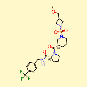 COCC1CN(S(=O)(=O)N2CCC[C@H](C(=O)N3CCC[C@@H]3C(=O)NCc3ccc(C(F)(F)F)cc3)C2)C1